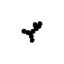 c1ccc(-c2ccc(N(c3ccc(-c4ccccc4)cc3)c3ccc(-c4ccc(-c5ccc6ccccc6c5)c(-c5ccccc5)c4)cc3)cc2)cc1